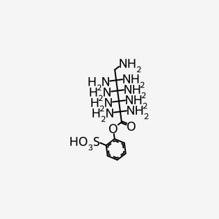 NCC(N)(N)C(N)(N)C(N)(N)C(N)(N)C(=O)Oc1ccccc1S(=O)(=O)O